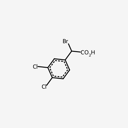 O=C(O)C(Br)c1ccc(Cl)c(Cl)c1